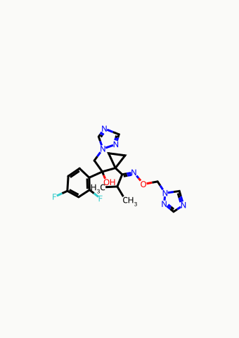 CC(C)/C(=N\OCn1cncn1)C1(C(O)(Cn2cncn2)c2ccc(F)cc2F)CC1